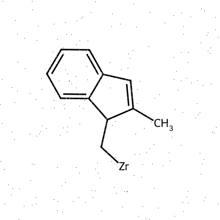 CC1=Cc2ccccc2C1[CH2][Zr]